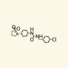 O=C(NCc1ccc(Cl)cc1)Nc1ccc([C@@H]2CCCS2(=O)=O)cc1